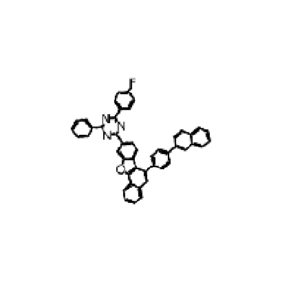 Fc1ccc(-c2nc(-c3ccccc3)nc(-c3ccc4c(c3)oc3c5ccccc5cc(-c5ccc(-c6ccc7ccccc7c6)cc5)c43)n2)cc1